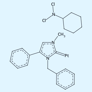 ClN(Cl)C1CCCCC1.Cn1cc(-c2ccccc2)n(Cc2ccccc2)[c]1=[Pt]